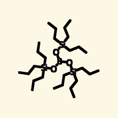 CCC[Si](CCC)(CCC)OB(O[Si](CCC)(CCC)CCC)O[Si](CCC)(CCC)CCC